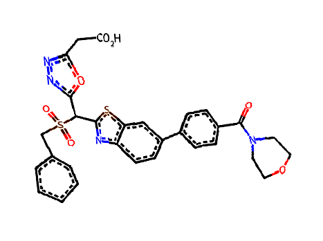 O=C(O)Cc1nnc(C(c2nc3ccc(-c4ccc(C(=O)N5CCOCC5)cc4)cc3s2)S(=O)(=O)Cc2ccccc2)o1